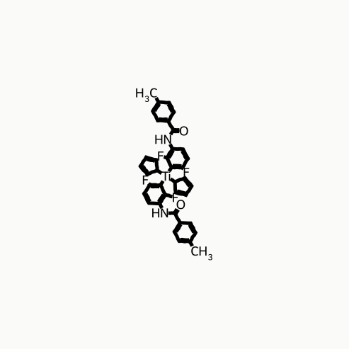 Cc1ccc(C(=O)Nc2ccc(F)[c]([Ti]([c]3c(F)ccc(NC(=O)c4ccc(C)cc4)c3F)([CH]3C=CC=C3)[CH]3C=CC=C3)c2F)cc1